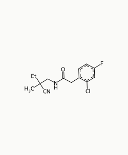 CCC(C)(C#N)CNC(=O)Cc1ccc(F)cc1Cl